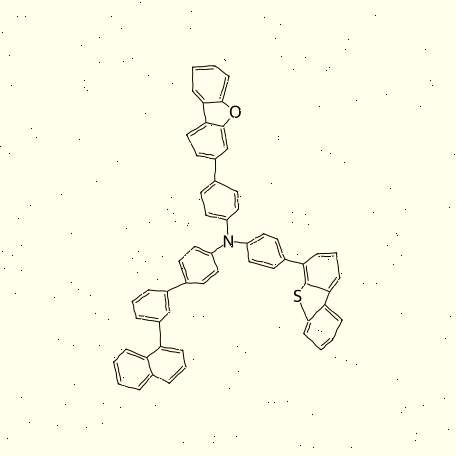 c1cc(-c2ccc(N(c3ccc(-c4ccc5c(c4)oc4ccccc45)cc3)c3ccc(-c4cccc5c4sc4ccccc45)cc3)cc2)cc(-c2cccc3ccccc23)c1